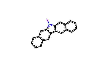 In1c2cc3ccccc3cc2c2cc3ccccc3cc21